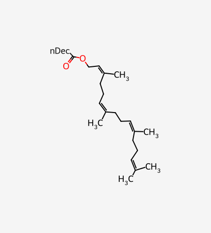 CCCCCCCCCCC(=O)OCC=C(C)CCC=C(C)CCC=C(C)CCC=C(C)C